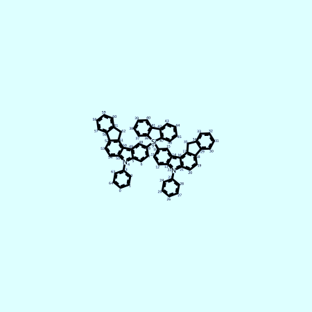 c1ccc(-n2c3ccc([Si]4(c5ccc6c(c5)c5c7c(ccc5n6-c5ccccc5)-c5ccccc5C7)c5ccccc5-c5ccccc54)cc3c3c4c(ccc32)-c2ccccc2C4)cc1